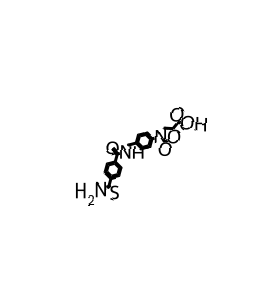 NC(=S)c1ccc(C(=O)NCc2ccc(N3CC(C(=O)O)OC3=O)cc2)cc1